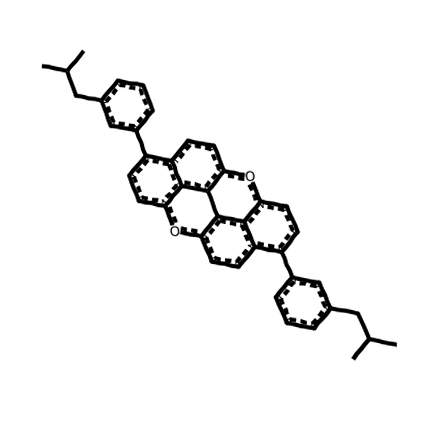 CC(C)Cc1cccc(-c2ccc3oc4ccc5c(-c6cccc(CC(C)C)c6)ccc6oc7ccc2c3c7-c4c65)c1